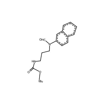 CC(C)(C)OC(=O)NCCCN(C=O)c1ccc2ccccc2c1